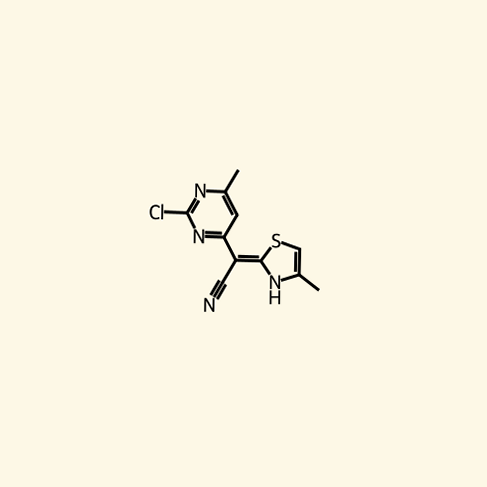 CC1=CSC(=C(C#N)c2cc(C)nc(Cl)n2)N1